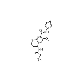 COc1cc2c(cc1C(=O)Nc1ccncc1)SCCC2NC(=O)OC(C)(C)C